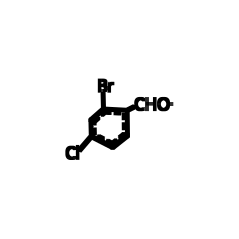 O=[C]c1ccc(Cl)cc1Br